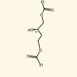 CCC(=O)OCC[C@@H](O)COC(=O)CC